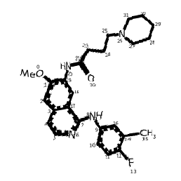 COc1cc2ccnc(Nc3ccc(F)c(C)c3)c2cc1NC(=O)CCCN1CCCCC1